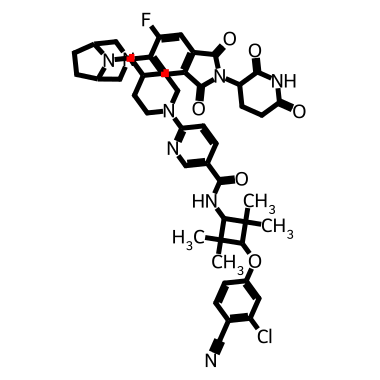 CC1(C)C(NC(=O)c2ccc(N3CCC(CN4C5CCC4CN(c4cc6c(cc4F)C(=O)N(C4CCC(=O)NC4=O)C6=O)C5)CC3)nc2)C(C)(C)C1Oc1ccc(C#N)c(Cl)c1